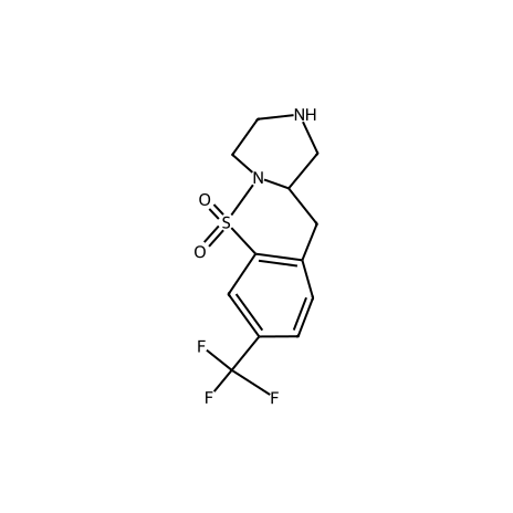 O=S1(=O)c2cc(C(F)(F)F)ccc2CC2CNCCN21